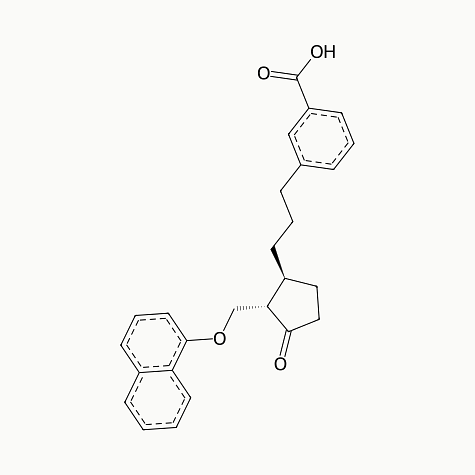 O=C(O)c1cccc(CCC[C@H]2CCC(=O)[C@@H]2COc2cccc3ccccc23)c1